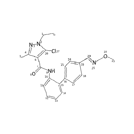 CCn1nc(C)c(C(=O)Nc2ccccc2-c2ccc(/C=N/OC)cc2)c1Cl